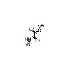 CC(C)OC(=O)C(=O)[NH+]=[N-]